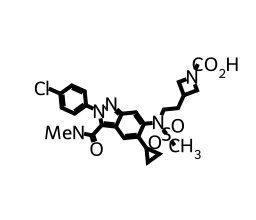 CNC(=O)c1c2cc(C3CC3)c(N(CCC3CN(C(=O)O)C3)S(C)(=O)=O)cc2nn1-c1ccc(Cl)cc1